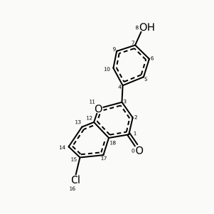 O=c1cc(-c2ccc(O)cc2)oc2ccc(Cl)cc12